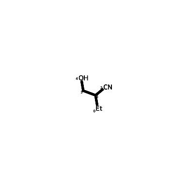 CCC(C#N)CO